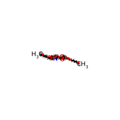 CCCCCCCCCCCCC1COC(CCc2ccc(-c3ccc(CCCCCCCC)cc3)nc2)OC1